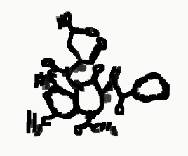 CC(=O)N1C[C@H](NC(=O)c2ccccc2)C(=O)N(N(C(C)=O)[C@H](C=O)CC(=O)O)c2c(C)cc(C)cc21